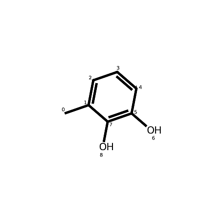 Cc1cc[c]c(O)c1O